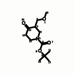 COCC1CN(C(=O)OC(C)(C)C)CCC1=O